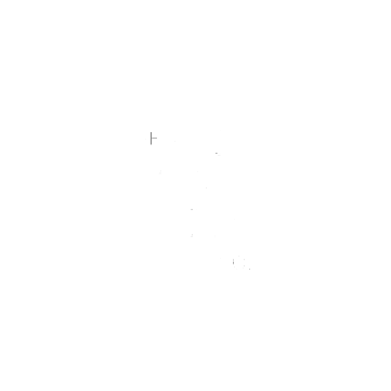 CC(=O)c1ccc(-c2cccc(F)c2C)cc1